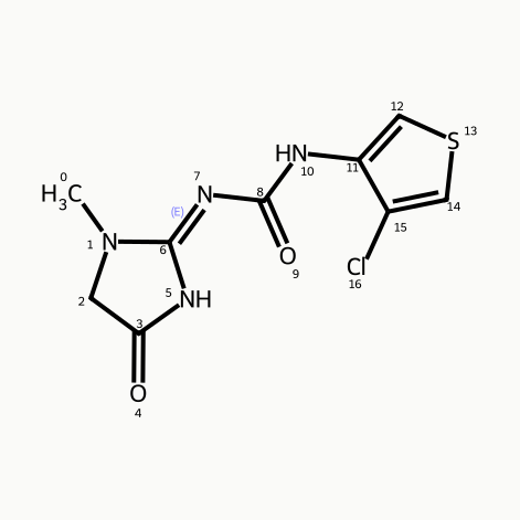 CN1CC(=O)N/C1=N\C(=O)Nc1cscc1Cl